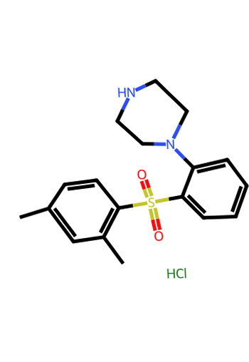 Cc1ccc(S(=O)(=O)c2ccccc2N2CCNCC2)c(C)c1.Cl